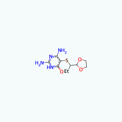 [CH2]CC(Sc1c(N)nc(N)[nH]c1=O)C1OCCO1